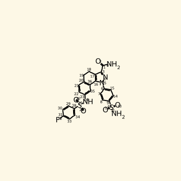 NC(=O)c1nn(-c2ccc(S(N)(=O)=O)cc2)c2c1CCc1ccc(NS(=O)(=O)c3ccc(F)cc3)cc1-2